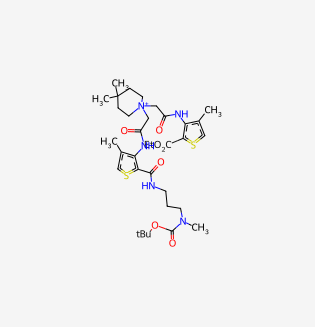 CCOC(=O)c1scc(C)c1NC(=O)C[N+]1(CC(=O)Nc2c(C)csc2C(=O)NCCCN(C)C(=O)OC(C)(C)C)CCC(C)(C)CC1